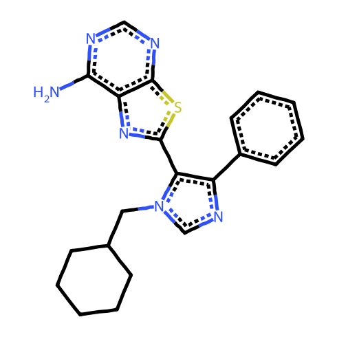 Nc1ncnc2sc(-c3c(-c4ccccc4)ncn3CC3CCCCC3)nc12